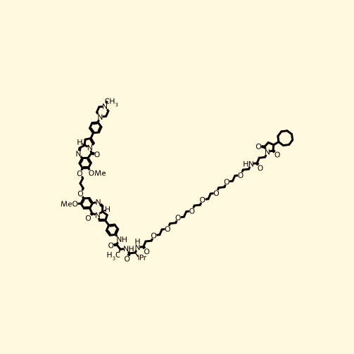 COc1cc2c(cc1OCCCOc1cc3c(cc1OC)C(=O)N1C=C(c4ccc(N5CCN(C)CC5)cc4)C[C@H]1C=N3)N=C[C@@H]1CC(c3ccc(NC(=O)[C@H](C)NC(=O)[C@@H](NC(=O)CCOCCOCCOCCOCCOCCOCCOCCOCCNC(=O)CCN4C(=O)CC(C5CCCCCCC5)C4=O)C(C)C)cc3)=CN1C2=O